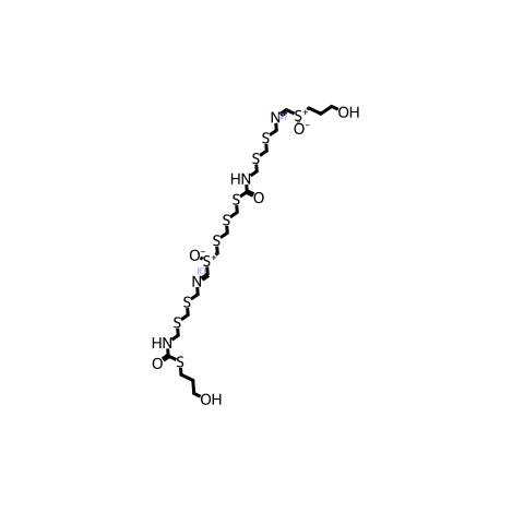 O=C(NCSCSC/N=C/[S+]([O-])CSCSCSC(=O)NCSCSC/N=C\[S+]([O-])CCCO)SCCCO